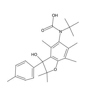 Cc1ccc(C2(O)c3c(C)c(N(C(=O)O)C(C)(C)C)c(C)c(C)c3OC2(C)C)cc1